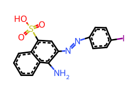 Nc1c(/N=N/c2ccc(I)cc2)cc(S(=O)(=O)O)c2ccccc12